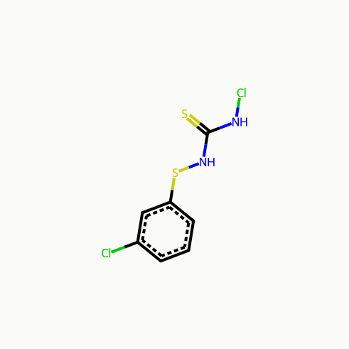 S=C(NCl)NSc1cccc(Cl)c1